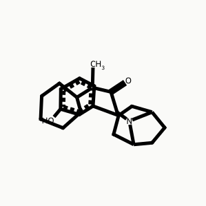 CN(C(=O)CN1C2CCC1CC(c1cccc(O)c1)C2)C1CCCCC1